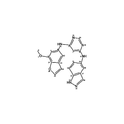 COc1cc(Nc2cc(Nc3ccc4[nH]ncc4c3)ncn2)cc2ccoc12